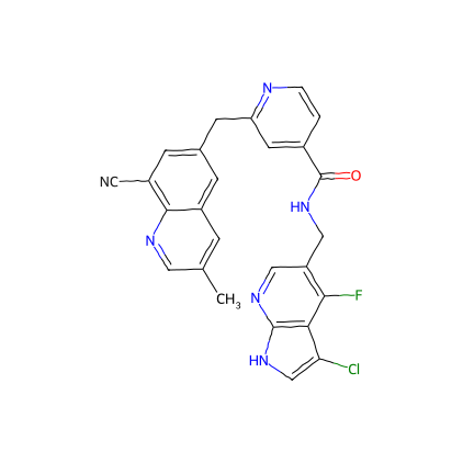 Cc1cnc2c(C#N)cc(Cc3cc(C(=O)NCc4cnc5[nH]cc(Cl)c5c4F)ccn3)cc2c1